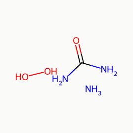 N.NC(N)=O.OO